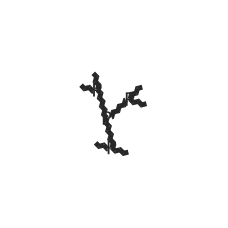 CCCCP(CCCC)CCCCCCP(CCCCCCP(CCCC)CCCC)CCCCCCP(CCCC)CCCC